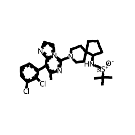 Cc1nc(N2CCC3(CCCC3N[S@+]([O-])C(C)(C)C)CC2)n2ccnc2c1-c1cccc(Cl)c1Cl